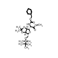 COC(=O)C(NC(=O)OCc1ccccc1)[C@@H]1O[C@H](CO[Si](C)(C)C(C)(C)C)[C@H]2OC(C)(C)O[C@H]21